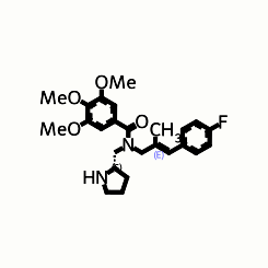 COc1cc(C(=O)N(C/C(C)=C/c2ccc(F)cc2)C[C@@H]2CCCN2)cc(OC)c1OC